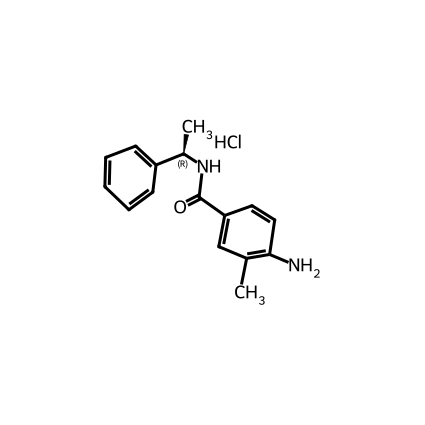 Cc1cc(C(=O)N[C@H](C)c2ccccc2)ccc1N.Cl